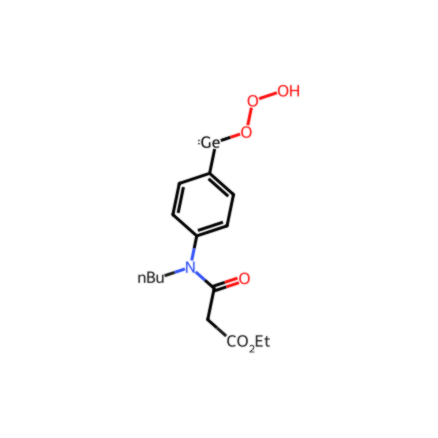 CCCCN(C(=O)CC(=O)OCC)c1cc[c]([Ge][O]OO)cc1